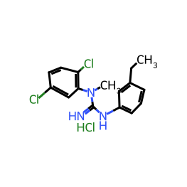 CCc1cccc(NC(=N)N(C)c2cc(Cl)ccc2Cl)c1.Cl